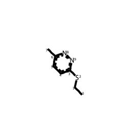 CCSc1ccc(C)nn1